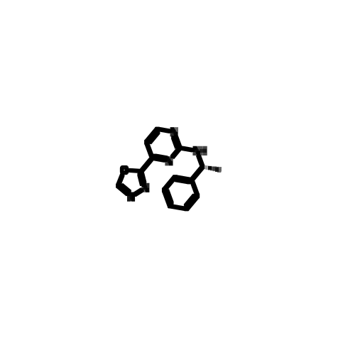 C[C@@H](Nc1nccc(-c2nnco2)n1)c1ccccc1